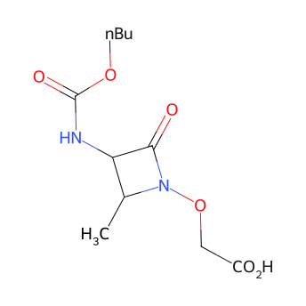 CCCCOC(=O)NC1C(=O)N(OCC(=O)O)C1C